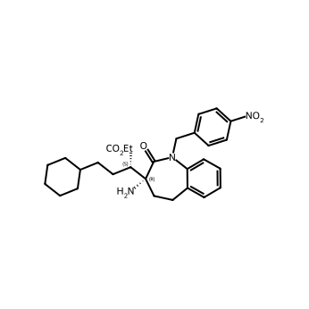 CCOC(=O)[C@@H](CCC1CCCCC1)[C@]1(N)CCc2ccccc2N(Cc2ccc([N+](=O)[O-])cc2)C1=O